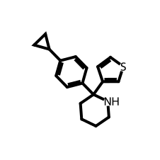 c1cc(C2(c3ccc(C4CC4)cc3)CCCCN2)cs1